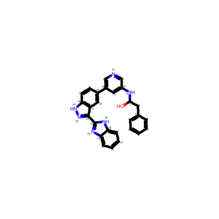 OC(Cc1ccccc1)Nc1cncc(-c2ccc3[nH]nc(-c4nc5ccccc5[nH]4)c3c2)c1